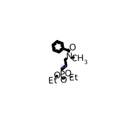 CCOP(=O)(/C=C/CN(C)C(=O)c1ccccc1)OCC